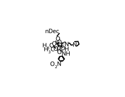 CCCCCCCCCCCCOC[C@@]12O[C@@H](CNCCN3CCCC3)[C@@H](OC(=O)Nc3ccc([N+](=O)[O-])cc3)[C@@H]1OC(C)(C)O2